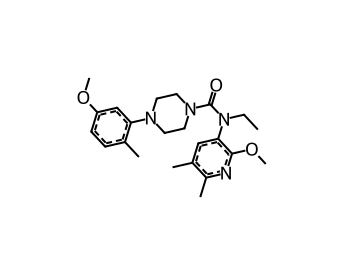 CCN(C(=O)N1CCN(c2cc(OC)ccc2C)CC1)c1cc(C)c(C)nc1OC